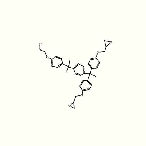 CCOCOc1ccc(C(C)(C)c2ccc(C(C)(c3ccc(OCC4CO4)cc3)c3ccc(OCC4CO4)cc3)cc2)cc1